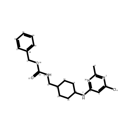 Cc1nc(Cl)cc(NC2CCC(CNC(=O)OCc3ccccc3)CC2)n1